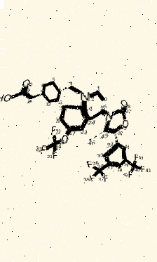 CCN(C[C@H]1CC[C@H](CC(=O)O)CC1)c1ccc(OC(F)(F)F)cc1CN1C(=O)O[C@H](c2cc(C(F)(F)F)cc(C(F)(F)F)c2)[C@@H]1C